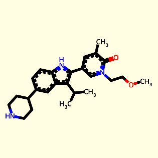 COCCn1cc(-c2[nH]c3ccc(C4CCNCC4)cc3c2C(C)C)cc(C)c1=O